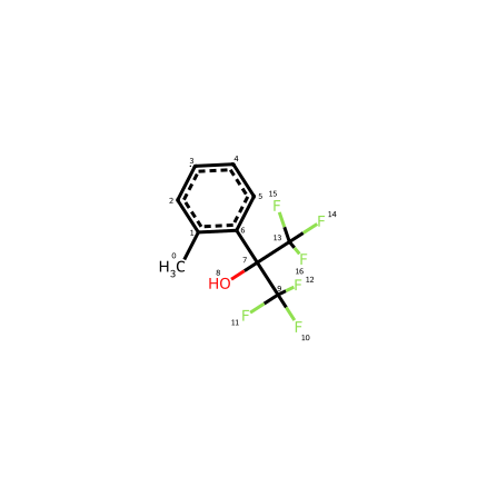 Cc1c[c]ccc1C(O)(C(F)(F)F)C(F)(F)F